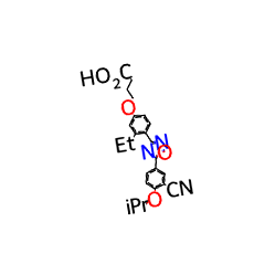 CCc1cc(OCCCC(=O)O)ccc1-c1noc(-c2ccc(OC(C)C)c(C#N)c2)n1